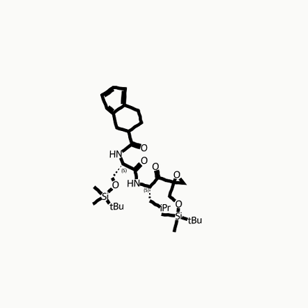 CC(C)C[C@H](NC(=O)[C@H](CO[Si](C)(C)C(C)(C)C)NC(=O)C1CCc2ccccc2C1)C(=O)C1(CO[Si](C)(C)C(C)(C)C)CO1